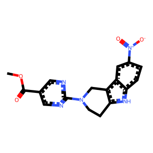 COC(=O)c1cnc(N2CCc3[nH]c4ccc([N+](=O)[O-])cc4c3C2)nc1